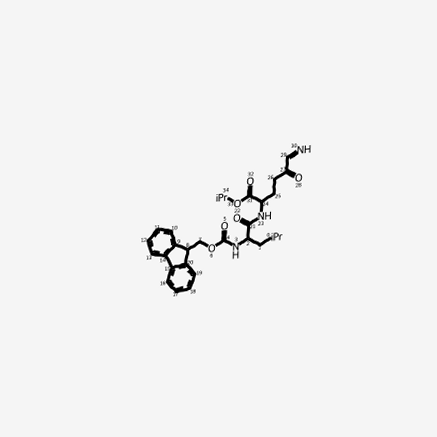 CC(C)CC(NC(=O)OCC1c2ccccc2-c2ccccc21)C(=O)NC(CCC(=O)C=N)C(=O)OC(C)C